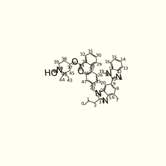 CCCc1nc2c(C)cc(-c3nc4ccccc4n3C)cc2n1Cc1ccc(-c2ccccc2C(=O)OC2CCN(O)C(C)(C)C2)cc1